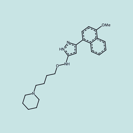 COc1ccc(-c2cc(NOCCCCN3CCCCC3)[nH]n2)c2ccccc12